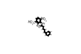 CCc1c(C(=O)O)ccc([N+](=O)[O-])c1NC(=O)CCCCc1ccccc1